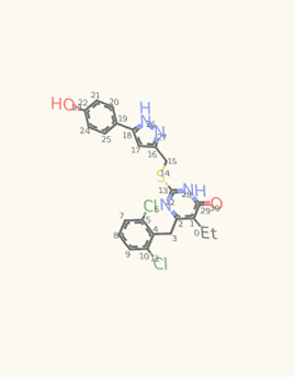 CCc1c(Cc2c(Cl)cccc2Cl)nc(SCc2cc(-c3ccc(O)cc3)[nH]n2)[nH]c1=O